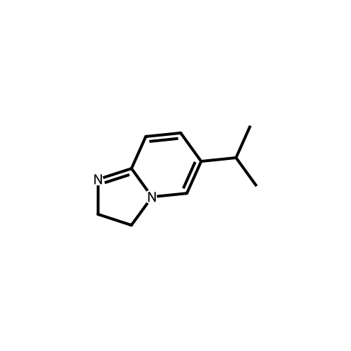 CC(C)C1=CN2CCN=C2C=C1